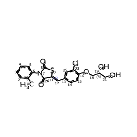 Cc1ccccc1N1C(=O)S/C(=C\c2ccc(OC[C@H](O)CO)c(Cl)c2)C1=O